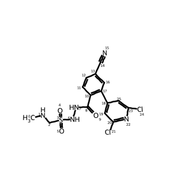 CNCS(=O)(=O)NNC(=O)c1ccc(C#N)cc1-c1cc(Cl)nc(Cl)c1